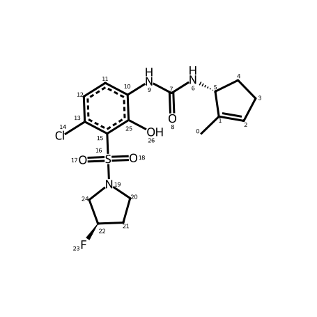 CC1=CCC[C@H]1NC(=O)Nc1ccc(Cl)c(S(=O)(=O)N2CC[C@@H](F)C2)c1O